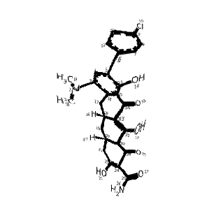 CN(C)c1cc(-c2ccc(Cl)cc2)c(O)c2c1C[C@H]1C[C@H]3CC(O)=C(C(N)=O)C(=O)C3C(O)=C1C2=O